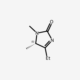 CCC1=NC(=O)N(C)[C@H]1C